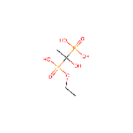 CCOP(=O)(O)C(C)(O)P(=O)(O)O